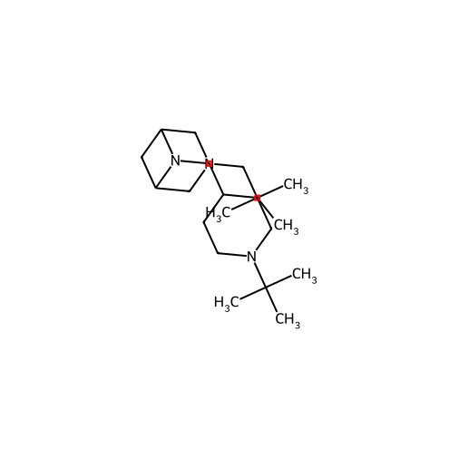 CC(C)(C)CN1CC2CC(C1)N2CC1CCN(C(C)(C)C)CC1